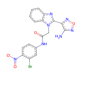 Nc1nonc1-c1nc2ccccc2n1CC(=O)Nc1ccc([N+](=O)[O-])c(Br)c1